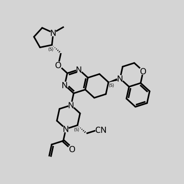 C=CC(=O)N1CCN(c2nc(OC[C@@H]3CCCN3C)nc3c2CC[C@H](N2CCOc4ccccc42)C3)C[C@@H]1CC#N